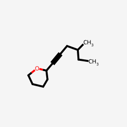 CCC(C)CC#CC1CCCCO1